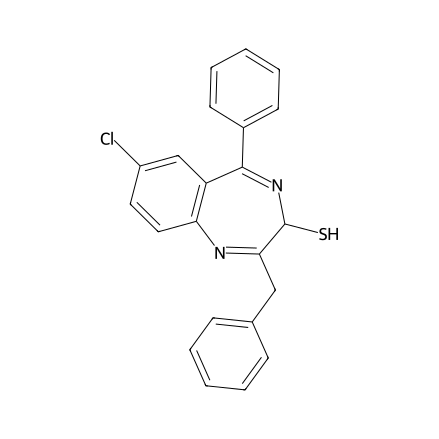 SC1N=C(c2ccccc2)c2cc(Cl)ccc2N=C1Cc1ccccc1